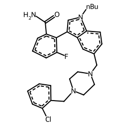 CCCCn1cc(-c2c(F)cccc2C(N)=O)c2cc(CN3CCN(Cc4ccccc4Cl)CC3)ccc21